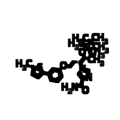 Cc1ccc(-c2cccc(OCC[C@H]([C@H](C)O[Si](C)(C)C(C)(C)C)n3cnc(C(N)=O)c3)c2)s1